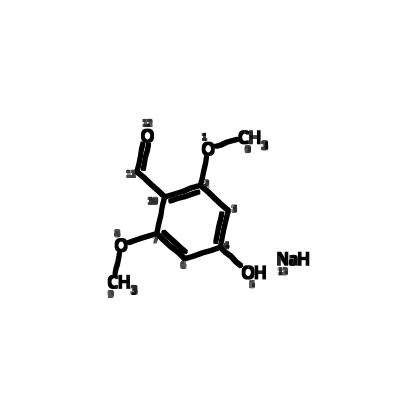 COc1cc(O)cc(OC)c1C=O.[NaH]